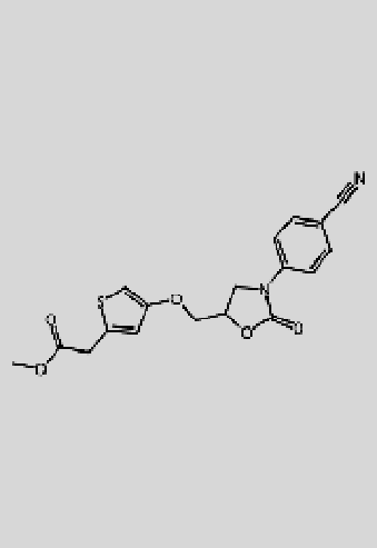 COC(=O)Cc1cc(OCC2CN(c3ccc(C#N)cc3)C(=O)O2)cs1